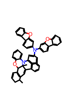 CC1CC=CC2=C1C=C(c1ccccc1)C1(C)C2Oc2ccccc2N1c1cccc(N(c2ccc3c(c2)oc2ccccc23)c2ccc3c(c2)oc2ccccc23)c1